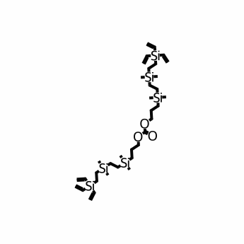 C=C[Si](C=C)(C=C)CC[Si](C)(C)CC[Si](C)(C)CCCOC(=O)OCCC[Si](C)(C)CC[Si](C)(C)CC[Si](C=C)(C=C)C=C